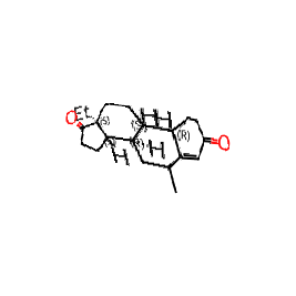 CC[C@]12CC[C@H]3[C@@H](CC(C)C4=CC(=O)CC[C@@H]43)[C@@H]1CCC2=O